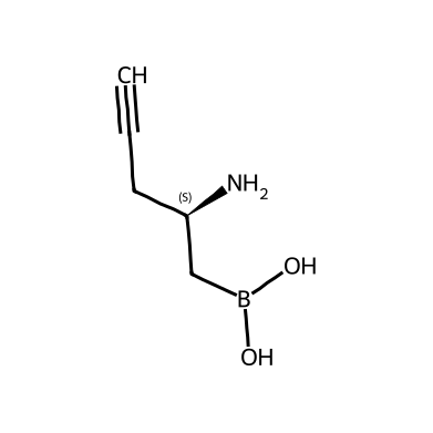 C#CC[C@@H](N)CB(O)O